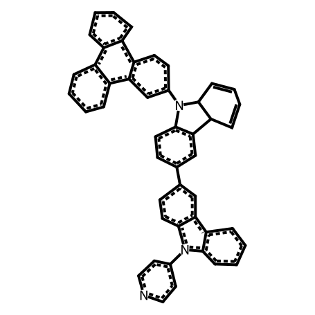 C1=CC2c3cc(-c4ccc5c(c4)c4ccccc4n5-c4ccncc4)ccc3N(c3ccc4c5ccccc5c5ccccc5c4c3)C2C=C1